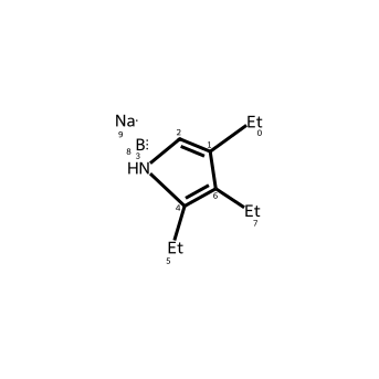 CCc1c[nH]c(CC)c1CC.[B].[Na]